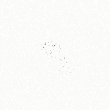 Bc1c(B)c(B)c2c(-c3c4ccccc4c(-c4ccc5ccc(-c6cccc7ccccc67)cc5c4)c4ccccc34)c(B)c(B)c(B)c2c1B